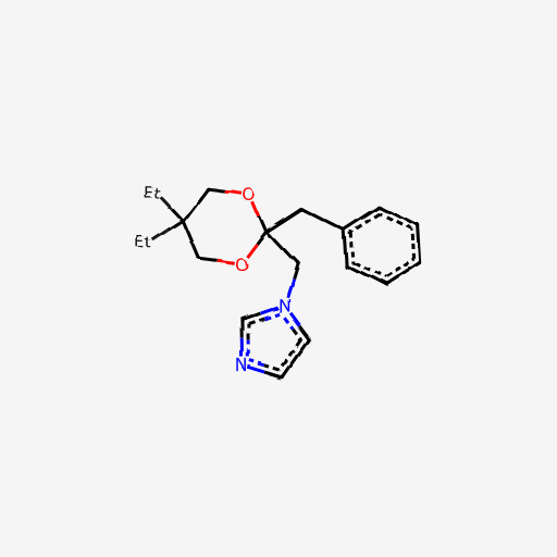 CCC1(CC)COC(Cc2ccccc2)(Cn2ccnc2)OC1